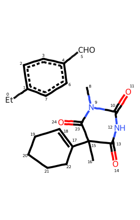 CCc1ccc(C=O)cc1.CN1C(=O)NC(=O)C(C)(C2=CCCCC2)C1=O